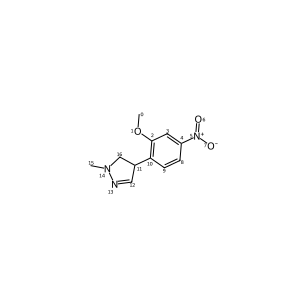 COc1cc([N+](=O)[O-])ccc1C1C=NN(C)C1